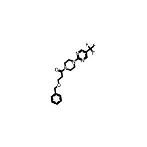 O=C(CCOCc1ccccc1)N1CCN(c2ncc(C(F)(F)F)cn2)CC1